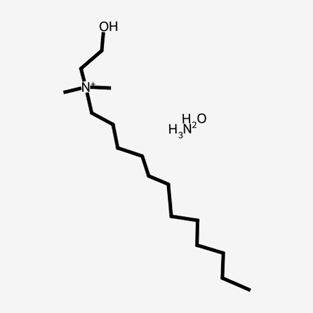 CCCCCCCCCCCC[N+](C)(C)CCO.N.O